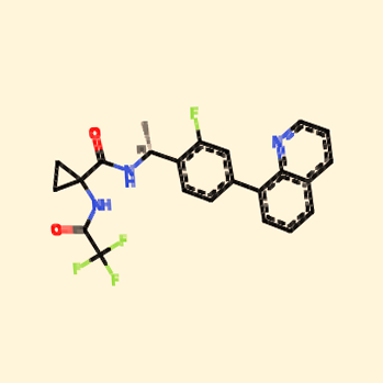 C[C@@H](NC(=O)C1(NC(=O)C(F)(F)F)CC1)c1ccc(-c2cccc3cccnc23)cc1F